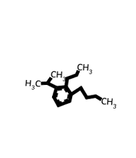 CCCCc1cccc(C(C)C)c1CCC